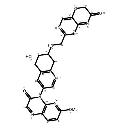 COc1ccc2ncc(=O)n(-c3cnc4c(c3)CCC(NCC3=NC=C5OCC(=O)N=C5N3)C4)c2n1.Cl